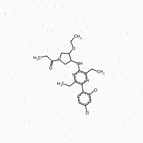 CCOC1CN(C(=O)CC)CC1Nc1nc(CC)c(-c2ccc(Cl)cc2Cl)nc1CC